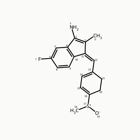 CC1=C(N)c2cc(F)ccc2/C1=C\C1=CC=C([S+](C)[O-])CC1